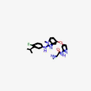 CNCC(=O)Nc1cc(Oc2ccc3c(c2)nc(Nc2ccc(F)c(C(C)C)c2)n3C)ccn1